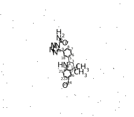 CC1(C)CC(c2cccc(-c3nnnn3C(N)=O)c2)Nc2ccc([C]=O)cc21